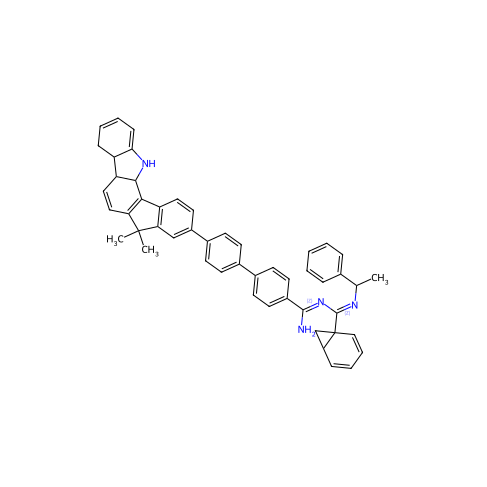 CC(/N=C(\N=C(/N)c1ccc(-c2ccc(-c3ccc4c(c3)C(C)(C)C3=C4C4NC5=CC=CCC5C4C=C3)cc2)cc1)C12C=CC=CC1C2)c1ccccc1